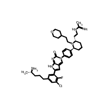 CC(=N)NCC[C@@H]1CCC[C@@H](c2ccc(-n3cc4cc(-c5cc(CCC[C@H](C)N)cc(Cl)c5F)[nH]c4nc3=O)cc2)N1CCC1CCOCC1